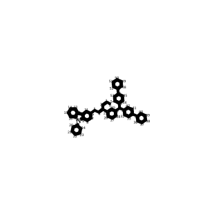 C/C=C\C(=C/Cc1ccc2c(c1)c1ccccc1n2-c1ccccc1)c1cccc(C(c2ccc(-c3ccccc3)cc2)c2ccc(-c3ccccc3)cc2)c1